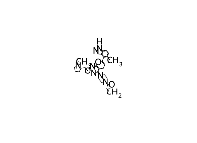 C=CC(=O)N1CCN(c2nc(OCC3CCCN3C)nc3c2CC=C(c2c(C)ccc4[nH]ncc24)O3)CC1